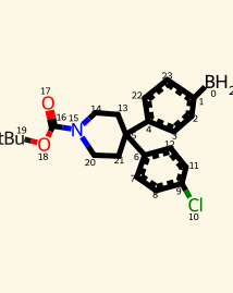 Bc1ccc(C2(c3ccc(Cl)cc3)CCN(C(=O)OC(C)(C)C)CC2)cc1